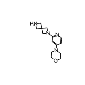 c1cc(N2CCOCC2)cc(N2CC3(CNC3)C2)n1